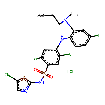 CNCCN(C)c1cc(F)ccc1Nc1cc(F)c(S(=O)(=O)Nc2ncc(Cl)s2)cc1Cl.Cl